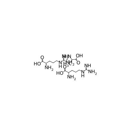 C[C@@H](N)C(=O)O.N=C(N)NCCCC(N)C(=O)O.N=C(N)NCCC[C@@H](N)C(=O)O